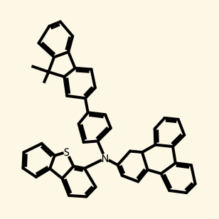 CC1(C)c2ccccc2-c2ccc(-c3ccc(N(C4=CC=C5c6ccccc6-c6ccccc6C5C4)c4cccc5c4sc4ccccc45)cc3)cc21